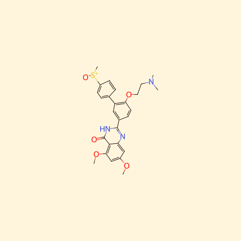 COc1cc(OC)c2c(=O)[nH]c(-c3ccc(OCCN(C)C)c(-c4ccc([S+](C)[O-])cc4)c3)nc2c1